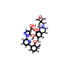 COc1c(C(O)O)cnn1-c1cccc(-c2cccc(C)c2OCc2ccc3c(c2)CCN(CC2(C)COC2)C3)n1